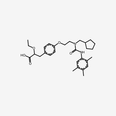 CCOC(Cc1ccc(OCCN(CC2CCCC2)C(=O)Nc2cc(C)c(C)cc2C)cc1)C(=O)O